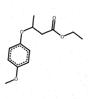 CCOC(=O)CC(C)Oc1ccc(OC)cc1